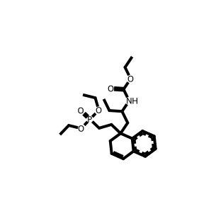 CCOC(=O)NC(CC)CC1(CCP(=O)(OCC)OCC)CC=Cc2ccccc21